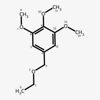 CCOCc1cc(OC)c(OC)c(OC)c1